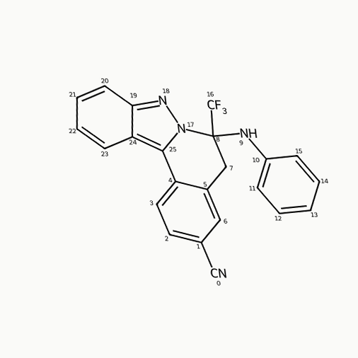 N#Cc1ccc2c(c1)CC(Nc1ccccc1)(C(F)(F)F)n1nc3ccccc3c1-2